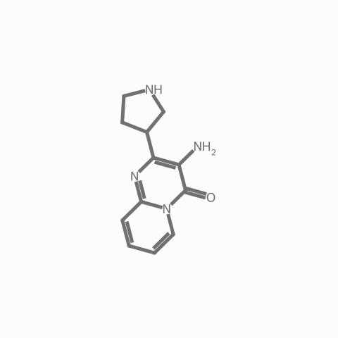 Nc1c(C2CCNC2)nc2ccccn2c1=O